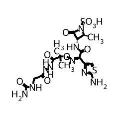 C[C@H]1[C@H](NC(=O)/C(=N\OC(C)(C)C(=O)NNC(=O)CNC(N)=O)c2csc(N)n2)C(=O)N1S(=O)(=O)O